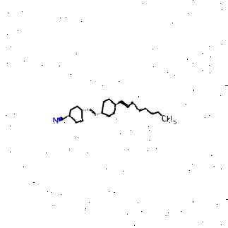 CCCCCCC=C[C@H]1CC[C@H](CC[C@H]2CC[C@H](C#N)CC2)CC1